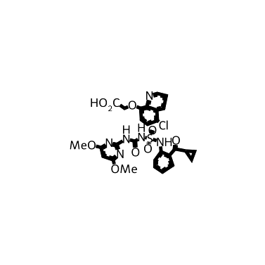 COc1cc(OC)nc(NC(=O)NS(=O)(=O)Nc2ccccc2C(=O)C2CC2)n1.O=C(O)COc1ccc(Cl)c2cccnc12